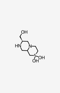 OC[C@H]1CN2CCS(O)(O)CC2CN1